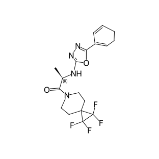 C[C@@H](Nc1nnc(C2=CCCC=C2)o1)C(=O)N1CCC2(CC1)C(F)(F)C2(F)F